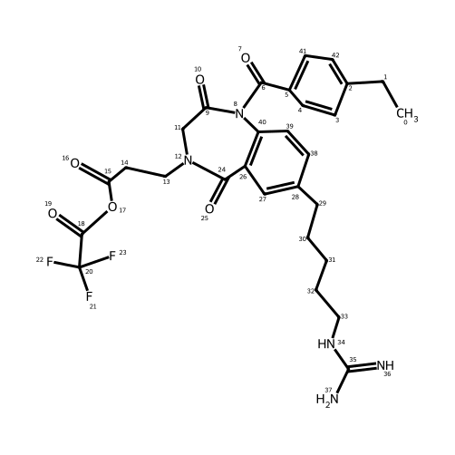 CCc1ccc(C(=O)N2C(=O)CN(CCC(=O)OC(=O)C(F)(F)F)C(=O)c3cc(CCCCCNC(=N)N)ccc32)cc1